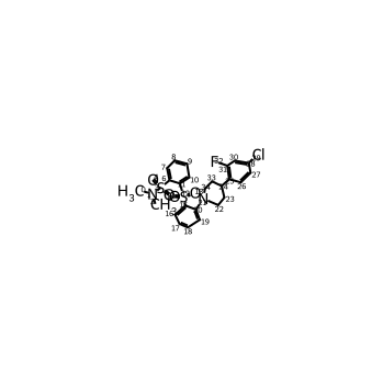 CN(C)S(=O)(=O)c1ccccc1S(=O)(=O)c1ccccc1N1CCC(c2ccc(Cl)cc2F)CC1